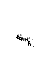 CC1C(C(=O)Nc2cc3cc([C@]4(C#N)CC45CC5)ccc3cn2)C1c1cnn(C)c1